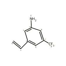 C=Cc1cc(N)cc(C(F)(F)F)c1